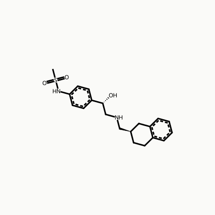 CS(=O)(=O)Nc1ccc([C@H](O)CNC[C@@H]2CCc3ccccc3C2)cc1